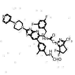 Cc1cc(-c2cc3sc(N4CCN(c5ccncc5)CC4)nc3nc2[C@@H](Cc2cc(F)cc(F)c2)NC(=O)Cn2nc(C(F)(F)F)c3c2C(F)(F)CC3)ccc1CNC=O